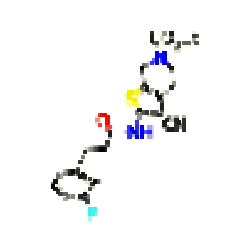 CCOC(=O)N1CCc2c(sc(NC(=O)C=Cc3cccc(F)c3C)c2C#N)C1